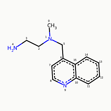 CN(CCN)Cc1ccnc2ccccc12